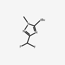 Cn1nc(C(F)F)nc1C(C)(C)C